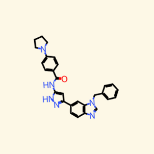 O=C(Nc1cc(-c2ccc3ncn(Cc4ccccc4)c3c2)n[nH]1)c1ccc(N2CCCC2)cc1